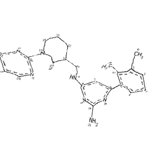 Cc1cccc(-c2cc(NCC3CCCN(c4ncccn4)C3)nc(N)n2)c1C